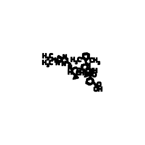 Cc1cccc(C)c1-c1cc(OCC(CC2(C)CC2)NCc2cnc3cn(C(C)C)nc3n2)nc(NS(=O)(=O)c2cccc(C(=O)O)c2)n1